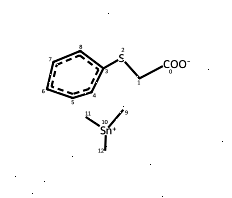 O=C([O-])CSc1ccccc1.[CH3][Sn+]([CH3])[CH3]